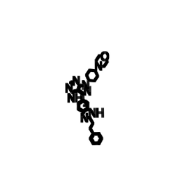 Nc1ncnc2c1c(-c1ccc3nc(CCc4ccccc4)[nH]c3c1)nn2C1CCC(N2CCOCC2)CC1